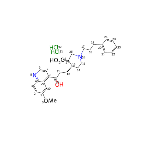 COc1ccc2nccc([C@H](O)CC[C@@H]3CCN(CCCc4ccccc4)C[C@@H]3C(=O)O)c2c1.Cl.Cl